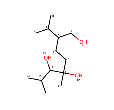 CC(C)C(CO)CCC(C)(O)C(O)C(C)C